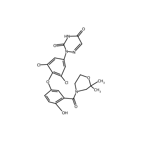 CC1(C)CN(C(=O)c2cc(Oc3c(Cl)cc(-n4ncc(=O)[nH]c4=O)cc3Cl)ccc2O)CCO1